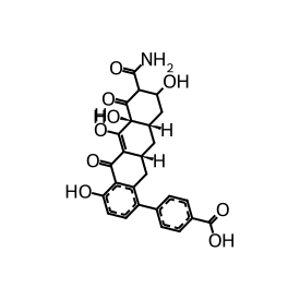 NC(=O)C1C(=O)[C@@]2(O)C(O)=C3C(=O)c4c(O)ccc(-c5ccc(C(=O)O)cc5)c4C[C@H]3C[C@H]2CC1O